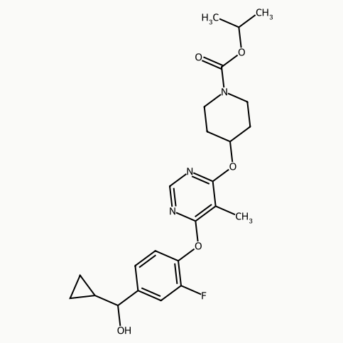 Cc1c(Oc2ccc(C(O)C3CC3)cc2F)ncnc1OC1CCN(C(=O)OC(C)C)CC1